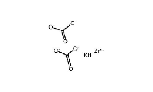 O=C([O-])[O-].O=C([O-])[O-].[KH].[Zr+4]